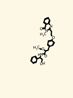 CCOC(Cc1ccc(OCCc2nc3ccccc3c(=O)n2C)cc1)C(=O)NC(CO)c1ccccc1